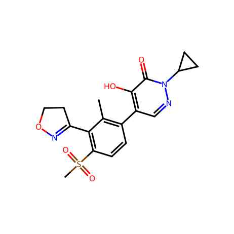 Cc1c(-c2cnn(C3CC3)c(=O)c2O)ccc(S(C)(=O)=O)c1C1=NOCC1